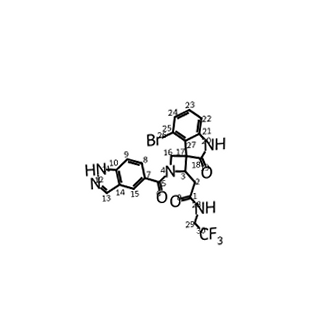 O=C(CC1N(C(=O)c2ccc3[nH]ncc3c2)CC12C(=O)Nc1cccc(Br)c12)NCC(F)(F)F